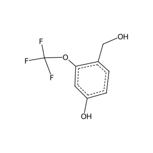 OCc1ccc(O)cc1OC(F)(F)F